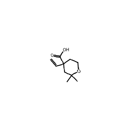 C=CC1(C(=O)O)CCOC(C)(C)C1